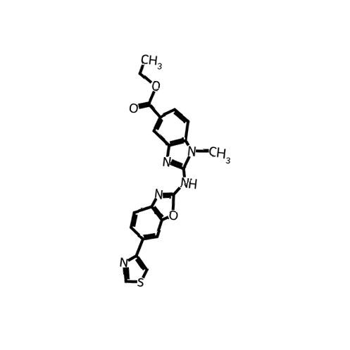 CCOC(=O)c1ccc2c(c1)nc(Nc1nc3ccc(-c4cscn4)cc3o1)n2C